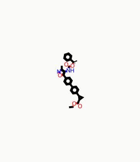 CCOC(=O)C1CC1c1ccc(-c2ccc(-c3onc(C)c3NC(=O)O[C@H](C)c3ccccc3)cc2)cc1